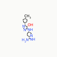 Cc1ccc(-c2ncnc(Nc3ccc(C(=N)N)nc3)c2O)cc1